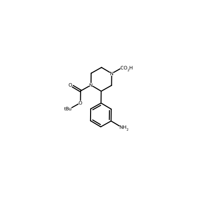 CC(C)(C)OC(=O)N1CCN(C(=O)O)CC1c1cccc(N)c1